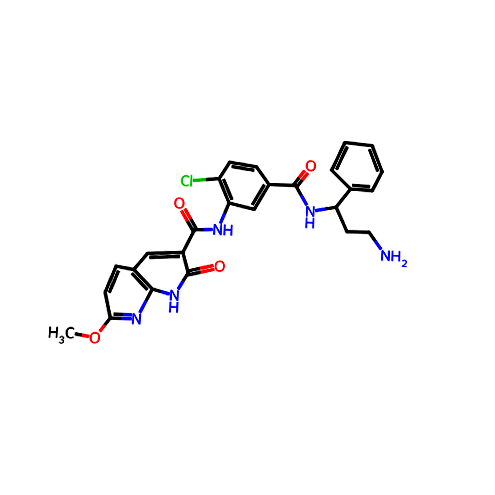 COc1ccc2cc(C(=O)Nc3cc(C(=O)NC(CCN)c4ccccc4)ccc3Cl)c(=O)[nH]c2n1